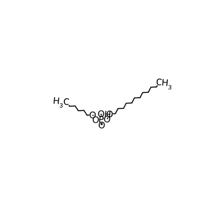 CCCCCCCCCCCCOOP(=O)(O)OOCCCCCC